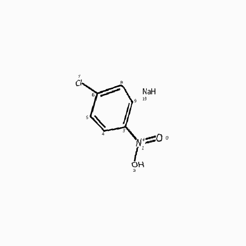 O=[N+](O)c1ccc(Cl)cc1.[NaH]